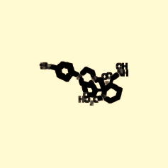 CC(C)(C)c1ccc(N2CCN(C(=O)[C@]3(C4CCOC4)[C@@H](C(=O)NO)CCCN3C(=O)O)CC2)cc1